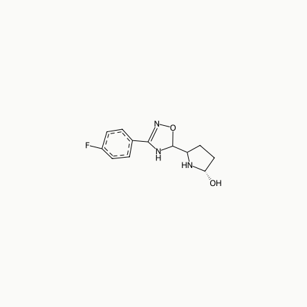 O[C@H]1CCC(C2NC(c3ccc(F)cc3)=NO2)N1